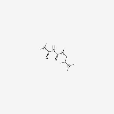 CC(CN(C)C(=S)NC(=S)N(C)C)N(C)C